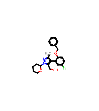 Cc1nn(C2CCCCO2)c(CO)c1-c1cc(Cl)ccc1OCc1ccccc1